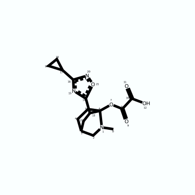 CN1CC2CCC1(OC(=O)C(=O)O)C(c1nc(C3CC3)no1)C2